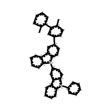 Cc1ccccc1-c1cc(-c2ccc3c(c2)c2ccccc2n3-c2ccc3c(c2)c2ccccc2n3-c2ccccc2)ccc1C